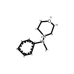 [CH2]N(c1ccccc1)N1CCOCC1